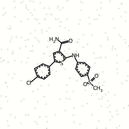 CS(=O)(=O)c1ccc(Nc2sc(-c3ccc(Cl)cc3)cc2C(N)=O)cc1